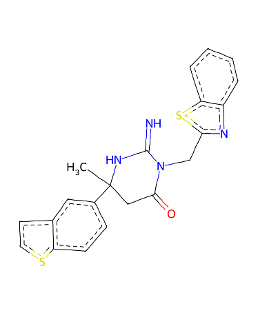 CC1(c2ccc3sccc3c2)CC(=O)N(Cc2nc3ccccc3s2)C(=N)N1